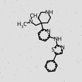 CN(C)CC1(c2cccc(Nc3ncc(-c4ccccc4)s3)n2)CCNCC1